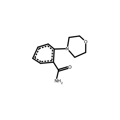 NC(=O)c1ccccc1N1CCOCC1